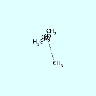 CCCCCCCCCCCCCCCCCCN=C1C(=O)N(CCCC)C(=O)N1CCCC